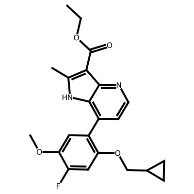 CCOC(=O)c1c(C)[nH]c2c(-c3cc(OC)c(F)cc3OCC3CC3)ccnc12